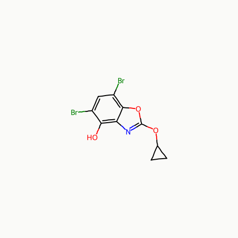 Oc1c(Br)cc(Br)c2oc(OC3CC3)nc12